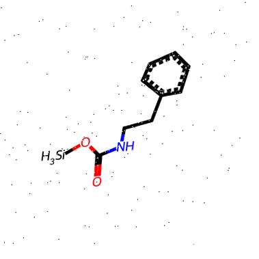 O=C(NCCc1ccccc1)O[SiH3]